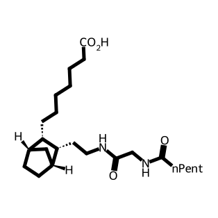 CCCCCC(=O)NCC(=O)NCC[C@@H]1[C@@H]2CC[C@@H](C2)[C@@H]1CCCCCCC(=O)O